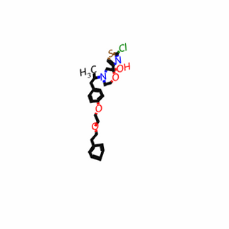 CC(Cc1ccc(OCCOCCc2ccccc2)cc1)N1CCOC(O)(c2csc(Cl)n2)C1